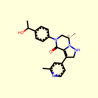 Cc1cc(C2=C3C(=O)N(c4ccc(C(C)O)cc4)C[C@H](C)N3NC2)ccn1